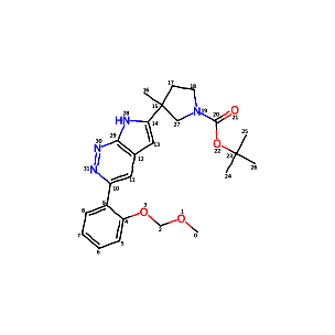 COCOc1ccccc1-c1cc2cc(C3(C)CCN(C(=O)OC(C)(C)C)C3)[nH]c2nn1